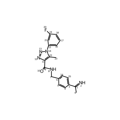 CC(=N)c1ccc(CNC(=O)c2nnn(-c3cccc(F)c3)c2C)cc1